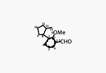 COc1c(C=O)cccc1C1CCCC1C